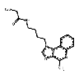 CC(C)(C)CC(=O)NCCCCn1cnc2c(N)nc3ccccc3c21